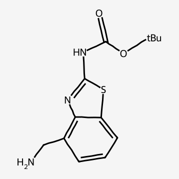 CC(C)(C)OC(=O)Nc1nc2c(CN)cccc2s1